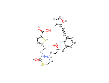 O=C(O)c1ccc(CCN2C(=O)SCCN2CC[C@@H](O)Cc2cccc(C#Cc3ccco3)c2)s1